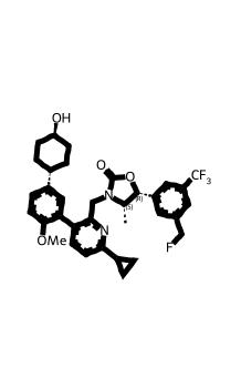 COc1ccc([C@H]2CC[C@H](O)CC2)cc1-c1ccc(C2CC2)nc1CN1C(=O)O[C@H](c2cc(CF)cc(C(F)(F)F)c2)[C@@H]1C